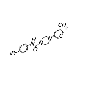 Cc1cccc(N2CCN(C(=O)Nc3ccc(C(C)C)cc3)CC2)c1